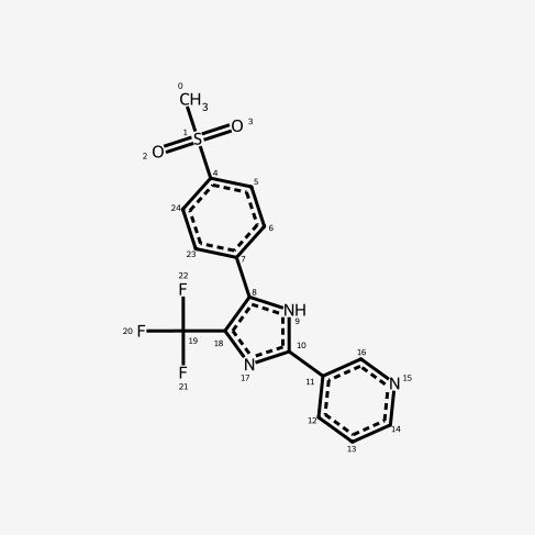 CS(=O)(=O)c1ccc(-c2[nH]c(-c3cccnc3)nc2C(F)(F)F)cc1